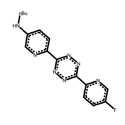 CCCCNc1ccc(-c2nnc(-c3ccc(F)cn3)nn2)nc1